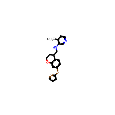 O=C(O)c1ccncc1NCC1CCOc2cc(Sc3cccs3)ccc21